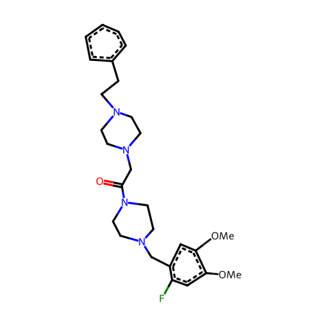 COc1cc(F)c(CN2CCN(C(=O)CN3CCN(CCc4ccccc4)CC3)CC2)cc1OC